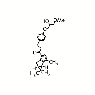 COCC(O)COc1ccc(CCC(=O)c2sc(C)c3c2C[C@@H]2[C@H]3C2(C)C)cc1